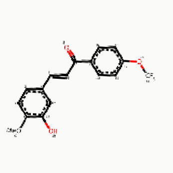 COc1ccc(/C=C/C(=O)c2ccc(OC(F)(F)F)cc2)cc1O